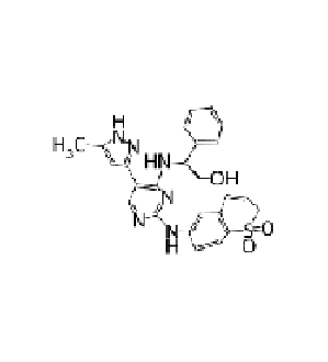 Cc1cc(-c2cnc(Nc3ccc4c(c3)C=CCS4(=O)=O)nc2N[C@H](CO)c2ccccc2)n[nH]1